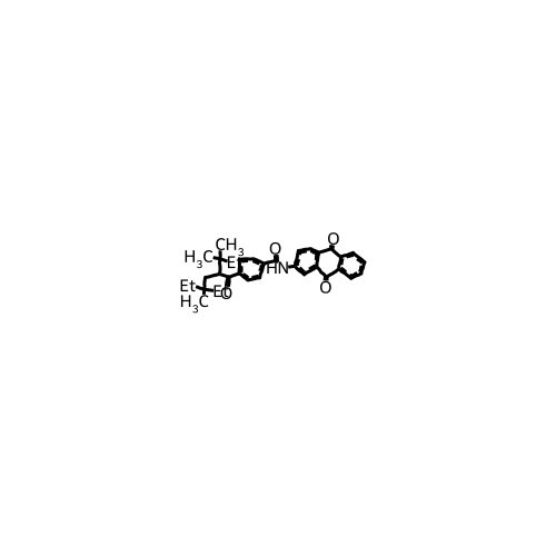 CCC(C)(CC)CC(C(=O)c1ccc(C(=O)Nc2ccc3c(c2)C(=O)c2ccccc2C3=O)cc1)C(C)(C)CC